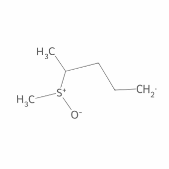 [CH2]CCC(C)[S+](C)[O-]